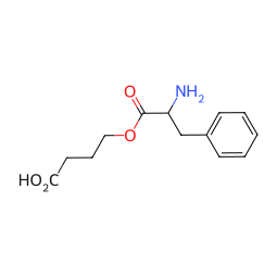 NC(Cc1ccccc1)C(=O)OCCCC(=O)O